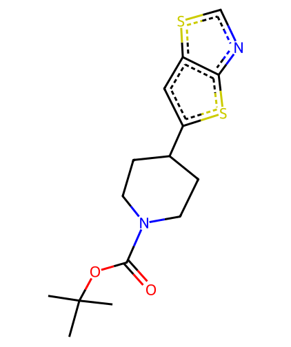 CC(C)(C)OC(=O)N1CCC(c2cc3scnc3s2)CC1